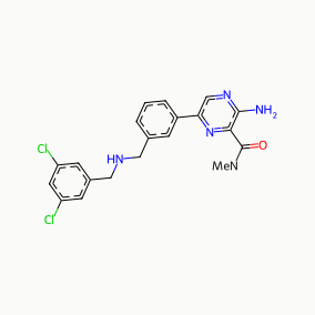 CNC(=O)c1nc(-c2cccc(CNCc3cc(Cl)cc(Cl)c3)c2)cnc1N